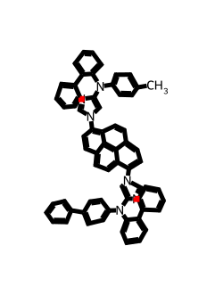 Cc1ccc(N(c2cn(-c3ccc4ccc5c(-n6cnc(N(c7ccc(-c8ccccc8)cc7)c7ccccc7-c7ccccc7)c6)ccc6ccc3c4c65)cn2)c2ccccc2-c2ccccc2)cc1